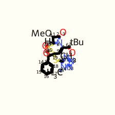 CO[C@H]1C(=O)N2C(C(=O)C(C)(C)C)=C(C)C(Cc3ccccc3)(Sc3nnnn3C)S(=O)(=O)[C@H]12